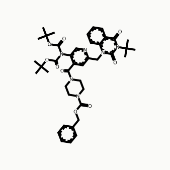 CC(C)(C)OC(=O)N(C(=O)OC(C)(C)C)c1cnc(Cn2c(=O)n(C(C)(C)C)c(=O)c3ccccc32)cc1C(=O)N1CCN(C(=O)OCc2ccccc2)CC1